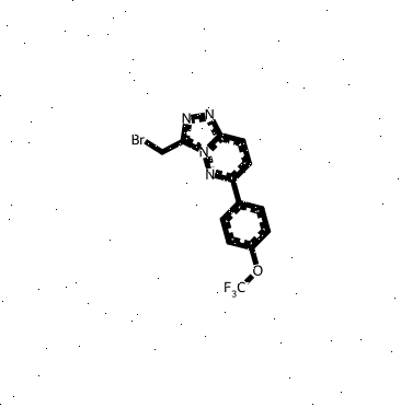 FC(F)(F)Oc1ccc(-c2ccc3nnc(CBr)n3n2)cc1